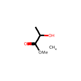 C.COC(=O)C(C)O